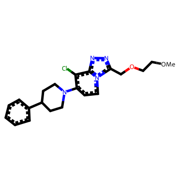 COCCOCc1nnc2c(Cl)c(N3CCC(c4ccccc4)CC3)ccn12